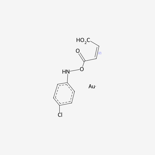 O=C(O)/C=C\C(=O)ONc1ccc(Cl)cc1.[Au]